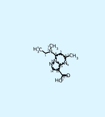 CCN(C)c1cc(C)nc2c(C(=O)O)cnn12